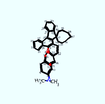 CN(C)c1ccc(COc2c(/C=C\c3ccccc3)c3c(c4ccccc24)-c2ccccc2C32CCCCCCC2)cc1